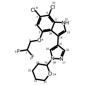 FC(F)COc1cc(Cl)c(Cl)c2[nH]cc(-c3cnn(C4CCCCO4)c3)c12